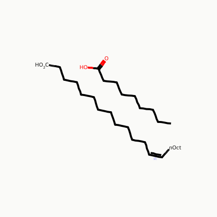 CCCCCCCC/C=C\CCCCCCCCCCCC(=O)O.CCCCCCCCC(=O)O